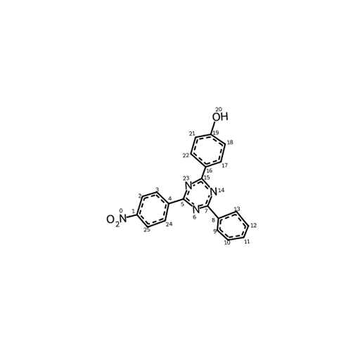 O=[N+]([O-])c1ccc(-c2nc(-c3ccccc3)nc(-c3ccc(O)cc3)n2)cc1